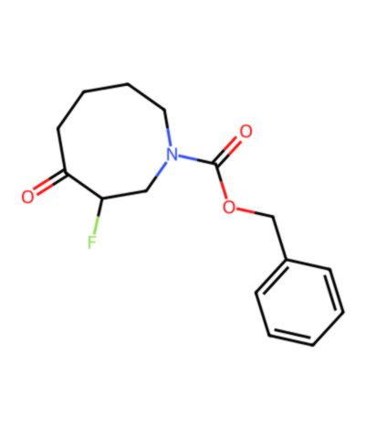 O=C1CCCCN(C(=O)OCc2ccccc2)CC1F